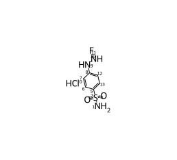 Cl.NS(=O)(=O)c1ccc(NNF)cc1